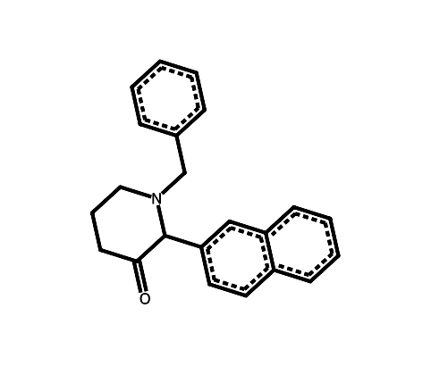 O=C1CCCN(Cc2ccccc2)C1c1ccc2ccccc2c1